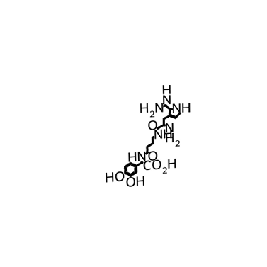 N=C(N)C1NCC=C1CC(N)C(=O)NCCCC(=O)NC(C(=O)O)c1ccc(O)c(O)c1